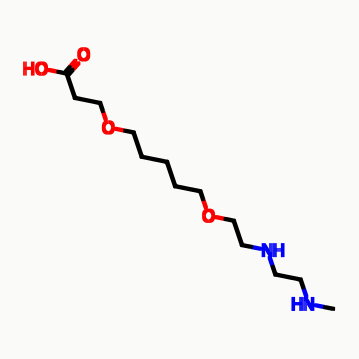 CNCCNCCOCCCCCOCCC(=O)O